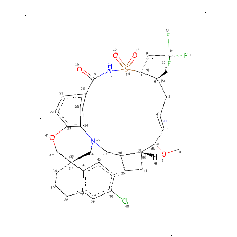 CO[C@H]1/C=C/C[C@H](C)[C@@H](CC(F)(F)F)S(=O)(=O)NC(=O)c2ccc3c(c2)N(CC2CC[C@H]21)C[C@@]1(CCCc2cc(Cl)ccc21)CO3